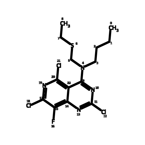 CCCCN(CSCC)c1nc(Cl)nc2c(F)c(Cl)nc(Cl)c12